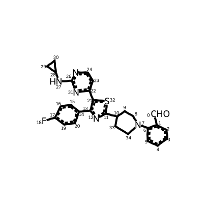 O=Cc1ccccc1N1CCC(c2nc(-c3ccc(F)cc3)c(-c3ccnc(NC4CC4)n3)s2)CC1